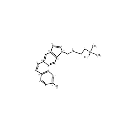 C[Si](C)(C)CCOCn1cnc2cc(/N=C\c3ccc(Br)nc3)ccc21